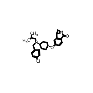 CC(C)CN(Cc1ccc(Cl)cc1)[C@H]1CC[C@H](Oc2ccc3c(c2)C2CN2C3=O)CC1